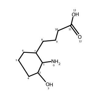 NC1C(O)CCCC1CCCC(=O)O